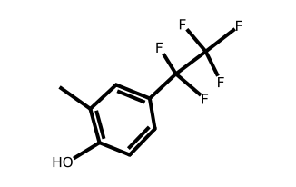 Cc1cc(C(F)(F)C(F)(F)F)ccc1O